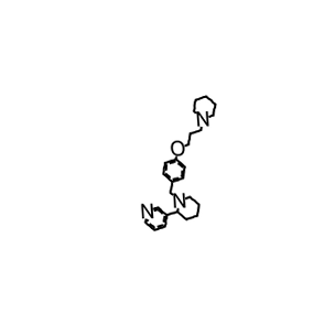 c1cncc(C2CCCCN2Cc2ccc(OCCCN3CCCCC3)cc2)c1